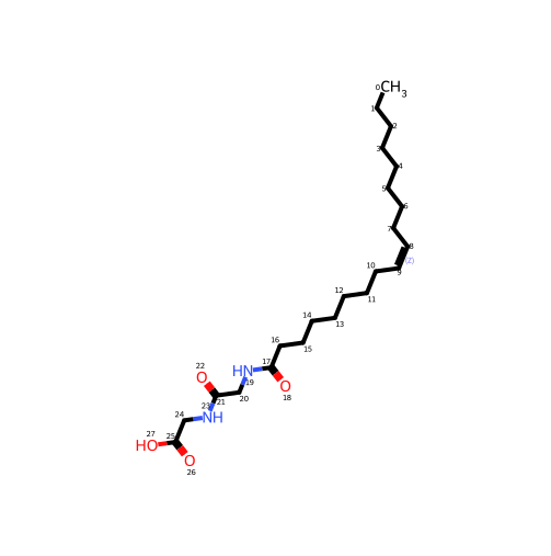 CCCCCCCC/C=C\CCCCCCCC(=O)NCC(=O)NCC(=O)O